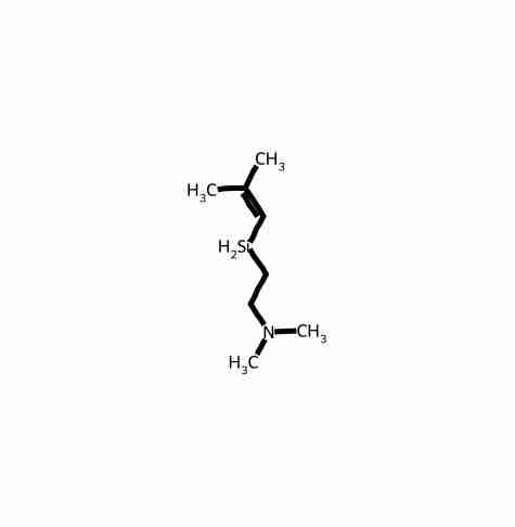 CC(C)=C[SiH2]CCN(C)C